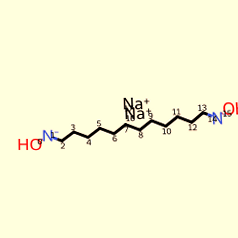 O[N-]CCCCCCCCCCCC[N-]O.[Na+].[Na+]